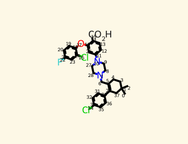 CC1(C)CCC(CN2CCN(c3ccc(C(=O)O)c(Oc4ccc(F)cc4Cl)c3)CC2)=C(c2ccc(Cl)cc2)C1